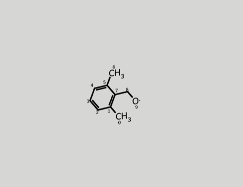 Cc1cccc(C)c1C[O]